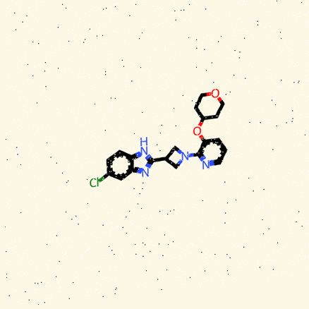 Clc1ccc2[nH]c(C3CN(c4ncccc4OC4CCOCC4)C3)nc2c1